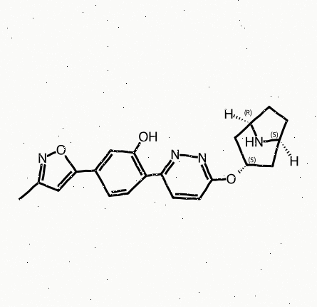 Cc1cc(-c2ccc(-c3ccc(O[C@@H]4C[C@H]5CC[C@@H](C4)N5)nn3)c(O)c2)on1